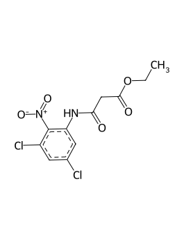 CCOC(=O)CC(=O)Nc1cc(Cl)cc(Cl)c1[N+](=O)[O-]